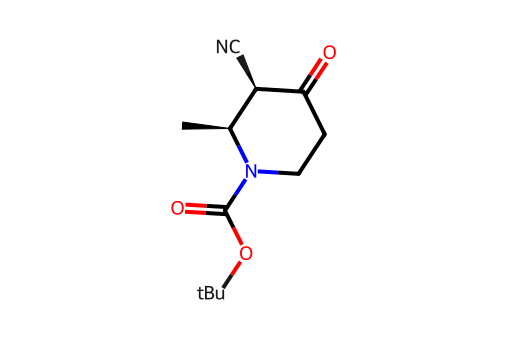 C[C@H]1[C@@H](C#N)C(=O)CCN1C(=O)OC(C)(C)C